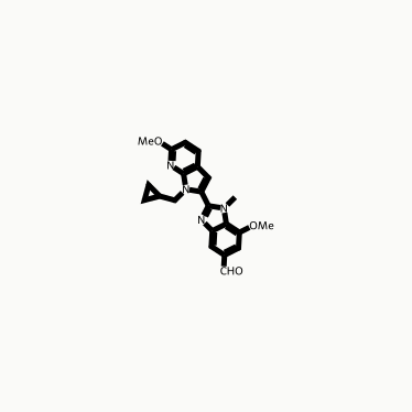 COc1ccc2cc(-c3nc4cc(C=O)cc(OC)c4n3C)n(CC3CC3)c2n1